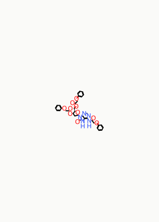 O=C(COc1ccccc1)Nc1ncnc2c1[nH]c(=O)n2[C@H]1C[C@H](OC(=O)COc2ccccc2)[C@@H](COC(=O)COc2ccccc2)O1